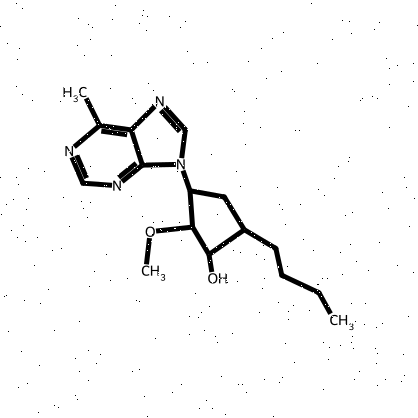 CCCCC1CC(n2cnc3c(C)ncnc32)C(OC)C1O